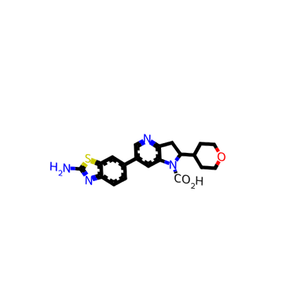 Nc1nc2ccc(-c3cnc4c(c3)N(C(=O)O)C(C3CCOCC3)C4)cc2s1